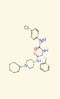 O=C(Nc1ccc(Cl)cc1)N[C@H](Cc1ccccc1)C(=O)NC1CCN(C2CCCCC2)CC1